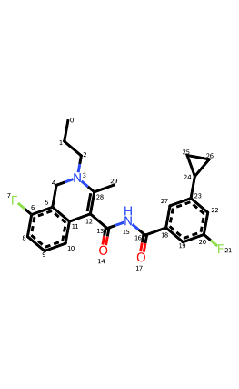 CCCN1Cc2c(F)cccc2C(C(=O)NC(=O)c2cc(F)cc(C3CC3)c2)=C1C